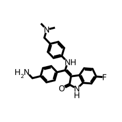 CN(C)Cc1ccc(NC(=C2C(=O)Nc3cc(F)ccc32)c2ccc(CN)cc2)cc1